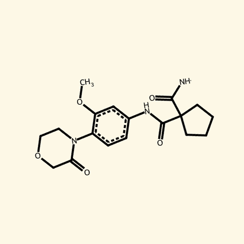 COc1cc(NC(=O)C2(C([NH])=O)CCCC2)ccc1N1CCOCC1=O